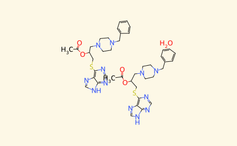 CC(=O)OC(CSc1ncnc2[nH]cnc12)CN1CCN(Cc2ccccc2)CC1.CC(=O)OC(CSc1ncnc2[nH]cnc12)CN1CCN(Cc2ccccc2)CC1.O